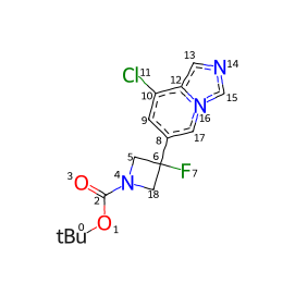 CC(C)(C)OC(=O)N1CC(F)(c2cc(Cl)c3cncn3c2)C1